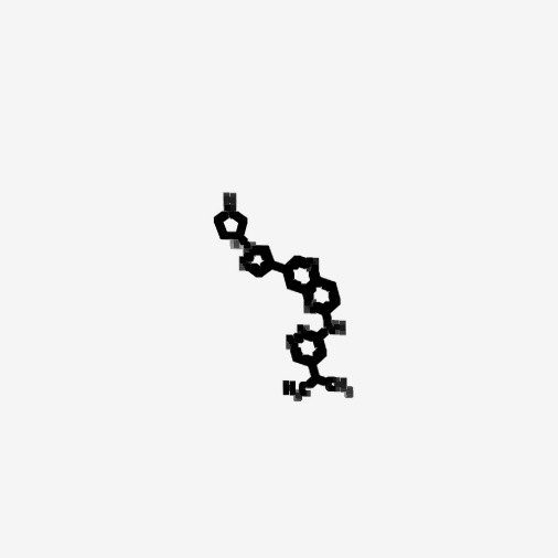 CC(C)c1cnnc(Nc2ccc3ncc(-c4cnn([C@H]5CCNC5)c4)cc3n2)c1